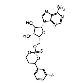 Nc1ncnc2c1ncn2[C@@H]1O[C@H](COP2(=S)OCCC(c3cccc(F)c3)O2)[C@H](O)C1O